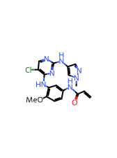 C=CC(=O)Nc1ccc(OC)c(Nc2nc(Nc3cnn(C)c3)ncc2Cl)c1